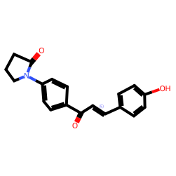 O=C(/C=C/c1ccc(O)cc1)c1ccc(N2CCCC2=O)cc1